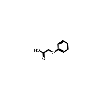 O=C(O)COc1[c]cc[c]c1